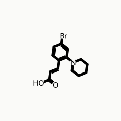 O=C(O)/C=C/c1ccc(Br)cc1N1CCCCC1